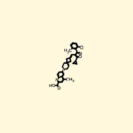 Cc1cccc(Cl)c1-c1noc(C2CC2)c1C=C1CC2(CCN(c3ccc4nc(C(=O)O)cc(C)c4c3)CC2)C1